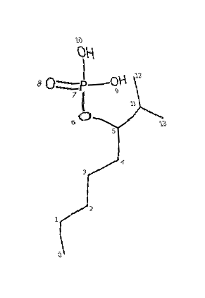 CCCCCC(OP(=O)(O)O)C(C)C